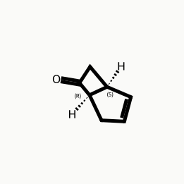 O=C1C[C@H]2C=CC[C@@H]12